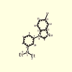 CCN(CC)c1cccc(-n2cnc3cc(C)ccc32)c1